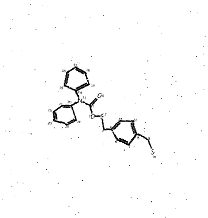 O=C(OSCc1ccc(C[S])cc1)N(c1ccccc1)c1ccccc1